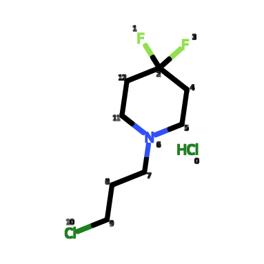 Cl.FC1(F)CCN(CCCCl)CC1